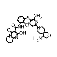 Nc1nc(N2CCC3(CC2)COCC3N)cnc1Sc1cccc(NC(=O)c2c(O)nc3n(c2=O)CCCC3)c1Cl